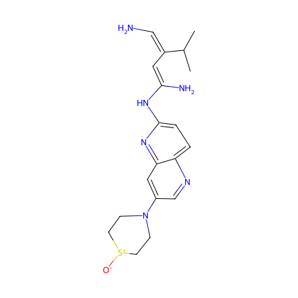 CC(C)C(=C/N)/C=C(\N)Nc1ccc2ncc(N3CC[S+]([O-])CC3)cc2n1